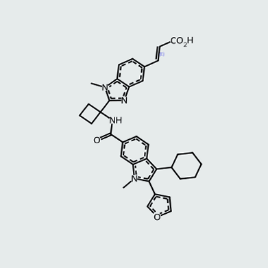 Cn1c(C2(NC(=O)c3ccc4c(C5CCCCC5)c(-c5ccoc5)n(C)c4c3)CCC2)nc2cc(/C=C/C(=O)O)ccc21